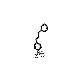 O=[N+]([O-])c1ccc(/C=C/[CH]c2ccccc2)cc1